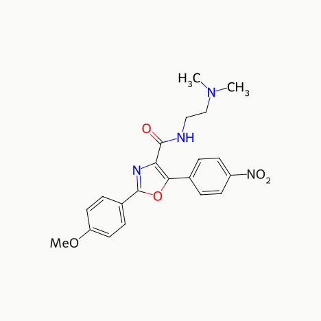 COc1ccc(-c2nc(C(=O)NCCN(C)C)c(-c3ccc([N+](=O)[O-])cc3)o2)cc1